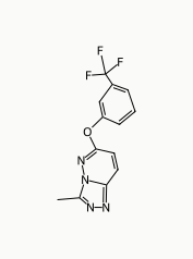 Cc1nnc2ccc(Oc3cccc(C(F)(F)F)c3)nn12